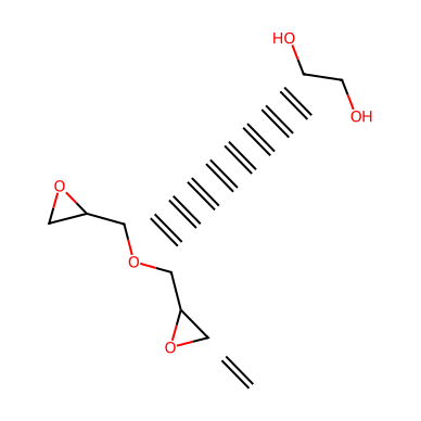 C(OCC1CO1)C1CO1.C=C.C=C.C=C.C=C.C=C.C=C.C=C.C=C.C=C.OCCO